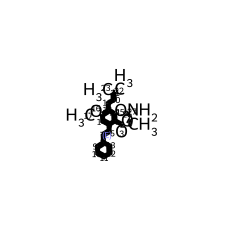 COC(=O)c1c(/C=C/c2ccccc2)cc(OC)c(CC=C(C)C)c1OCN